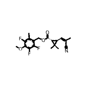 COc1c(F)c(C)c(COC(=O)[C@@H]2[C@@H](C=C(C)C#N)C2(C)C)c(F)c1F